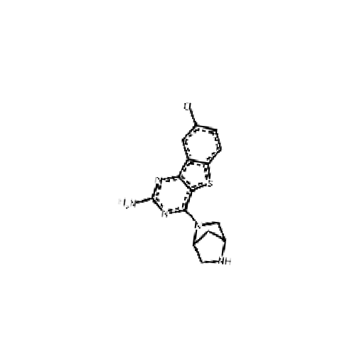 Nc1nc(N2CC3CC2CN3)c2sc3ccc(Cl)cc3c2n1